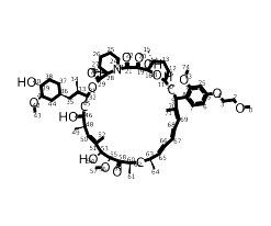 COCCOc1ccc(C2C[C@@H]3CC[C@@H](C)[C@@](O)(O3)C(=O)C(=O)N3CCCC[C@H]3C(=O)O[C@H]([C@H](C)C[C@@H]3CC[C@@H](O)[C@H](OC)C3)CC(O)[C@H](C)/C=C(\C)[C@H](O)[C@@H](OC)C(=O)[C@H](C)C[C@H](C)/C=C/C=C/C=C/2C)c(OC)c1